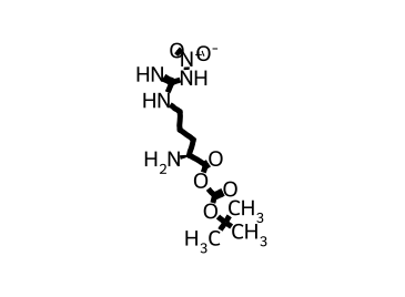 CC(C)(C)OC(=O)OC(=O)[C@@H](N)CCCNC(=N)N[N+](=O)[O-]